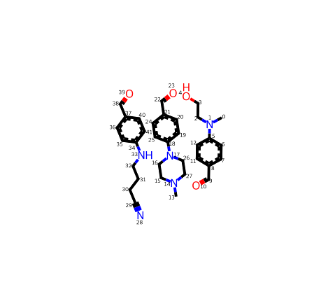 CN(CCO)c1ccc(C=O)cc1.CN1CCN(c2ccc(C=O)cc2)CC1.N#CCCCNc1ccc(C=O)cc1